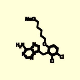 COCCCCCOc1ccc(Cl)c(Cl)c1Cc1cnc2c(N)ncnn12